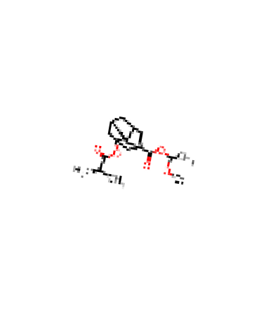 C=C(C)C(=O)OC12CC3CC(C1)CC(C(=O)OC(C)OCC)(C3)C2